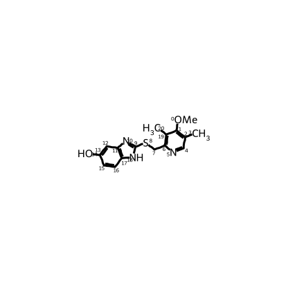 COc1c(C)cnc(CSc2nc3cc(O)ccc3[nH]2)c1C